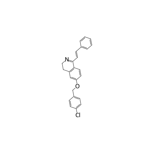 Clc1ccc(COc2ccc3c(c2)CCN=C3C=Cc2ccccc2)cc1